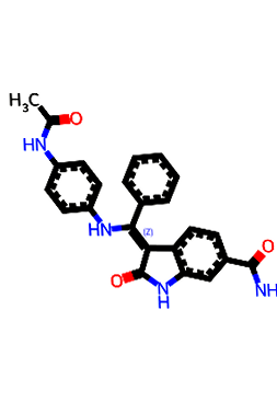 CC(=O)Nc1ccc(N/C(=C2\C(=O)Nc3cc(C(N)=O)ccc32)c2ccccc2)cc1